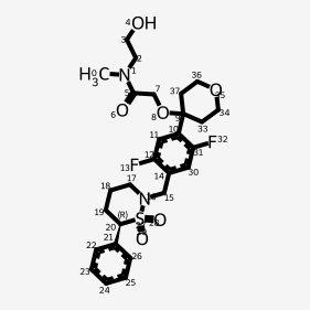 CN(CCO)C(=O)COC1(c2cc(F)c(CN3CCC[C@H](c4ccccc4)S3(=O)=O)cc2F)CCOCC1